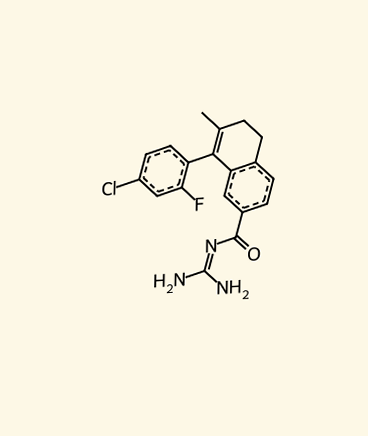 CC1=C(c2ccc(Cl)cc2F)c2cc(C(=O)N=C(N)N)ccc2CC1